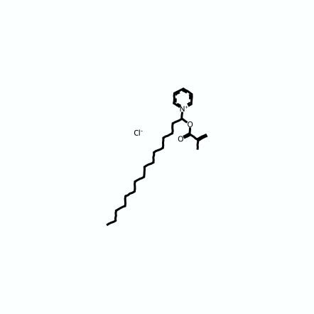 C=C(C)C(=O)OC(CCCCCCCCCCCCCCC)[n+]1ccccc1.[Cl-]